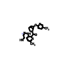 Cc1ccc(N/N=C\C=N)c(C(=O)N2CC3CC(Oc4ccc(C(F)(F)F)cn4)C2C3)n1